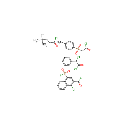 CCC(C)(CCC(=O)Cl)[N+](=O)[O-].Cc1ccc(S(=O)(=O)CC(=O)Cl)cc1.O=C(Cl)C(Cl)c1ccccc1.O=C(Cl)c1cc(S(=O)(=O)F)c2ccccc2c1Cl